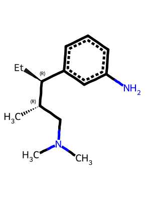 CC[C@@H](c1cccc(N)c1)[C@@H](C)CN(C)C